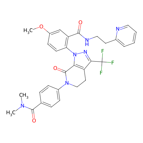 COc1ccc(-n2nc(C(F)(F)F)c3c2C(=O)N(c2ccc(C(=O)N(C)C)cc2)CC3)c(C(=O)NCCc2ccccn2)c1